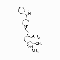 C=C1c2c(nn(C)c2C)CCN1CCN1CC=C(C2=NCc3ccccc32)CC1